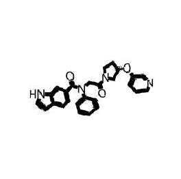 O=C(CN(C(=O)c1ccc2cc[nH]c2c1)c1ccccc1)N1CC[C@@H](Oc2cccnc2)C1